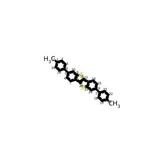 Cc1ccc(-c2ccc3c(c2)sc2c4ccc(-c5ccc(C)cc5)cc4sc32)cc1